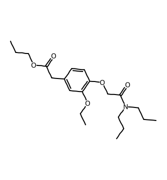 CCCOC(=O)Cc1ccc(OCC(=O)N(CCC)CCC)c(OCC)c1